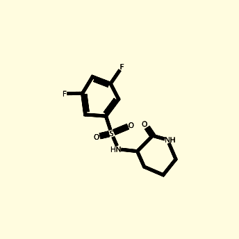 O=C1NCCCC1NS(=O)(=O)c1cc(F)cc(F)c1